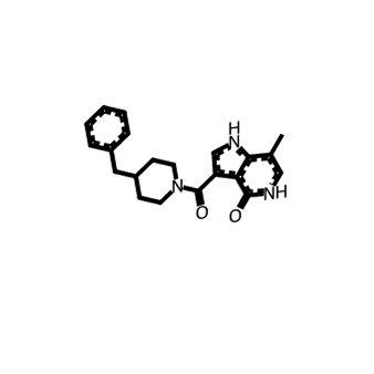 Cc1c[nH]c(=O)c2c(C(=O)N3CCC(Cc4ccccc4)CC3)c[nH]c12